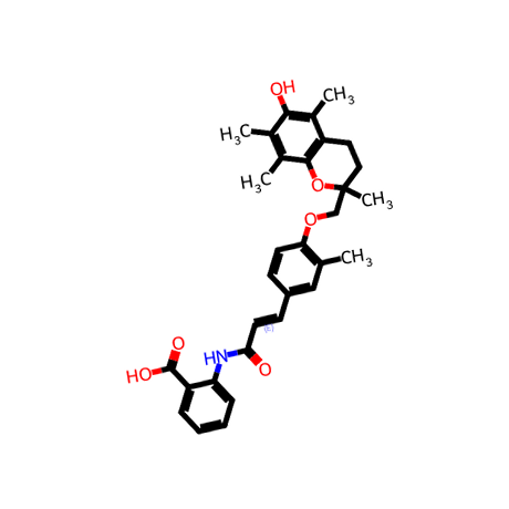 Cc1cc(/C=C/C(=O)Nc2ccccc2C(=O)O)ccc1OCC1(C)CCc2c(C)c(O)c(C)c(C)c2O1